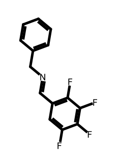 Fc1cc(C=NCc2ccccc2)c(F)c(F)c1F